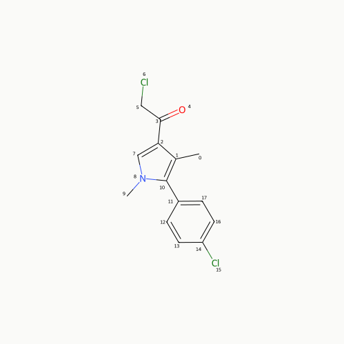 Cc1c(C(=O)CCl)cn(C)c1-c1ccc(Cl)cc1